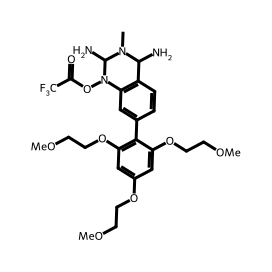 COCCOc1cc(OCCOC)c(-c2ccc3c(c2)N(OC(=O)C(F)(F)F)C(N)N(C)C3N)c(OCCOC)c1